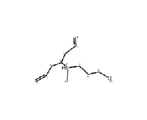 C=CCC(CC=C)[SiH](C)CCCCl